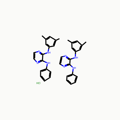 Cc1cc(C)cc(Nc2nccnc2Nc2ccccc2)c1.Cc1cc(C)cc(Nc2nccnc2Nc2ccccc2)c1.Cl